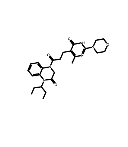 CCC(CC)N1C(=O)CN(C(=O)CCc2c(C)nc(N3CCOCC3)[nH]c2=O)c2ccccc21